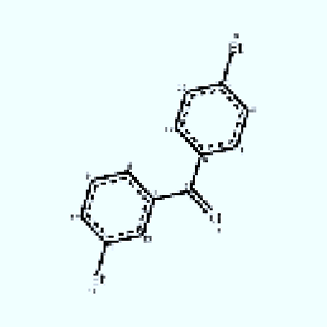 CCc1ccc(C(=O)c2cccc(CC)c2)cc1